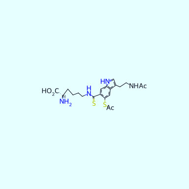 CC(=O)NCCc1c[nH]c2cc(C(=S)NCCCC[C@H](N)C(=O)O)c(SC(C)=O)cc12